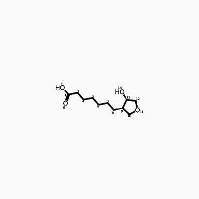 O=C(O)CCCCCC[C@@H]1COC[C@@H]1O